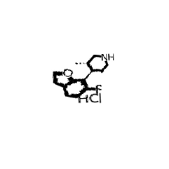 C[C@@H]1CNCC[C@H]1c1c(F)ccc2ccoc12.Cl